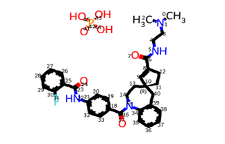 CN(C)CCNC(=O)C1=C[C@@]2(CC1)CCN(C(=O)c1ccc(NC(=O)c3ccccc3F)cc1)c1ccccc1C2.O=P(O)(O)O